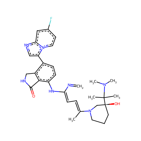 C=N/C(=C\C=C(/C)N1CCC[C@@](O)(C(C)(C)N(C)C)C1)Nc1ccc(-c2cnc3cc(F)ccn23)c2c1C(=O)NC2